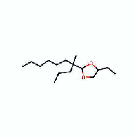 CCCCCCC(C)(CCC)C1OCC(CC)O1